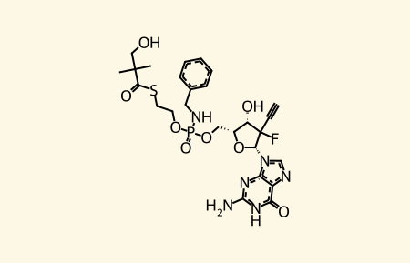 C#CC1(F)[C@@H](O)[C@@H](COP(=O)(NCc2ccccc2)OCCSC(=O)C(C)(C)CO)O[C@H]1n1cnc2c(=O)[nH]c(N)nc21